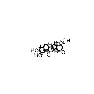 C[C@H]1C(=O)C[C@@H](C(C)(C)O)O[C@H]2C[C@@]3(C)[C@@H]4CC=C5[C@@H](C[C@@H](O)[C@@H](O)C5(C)C)[C@]4(C)C(=O)C[C@]3(C)[C@H]21